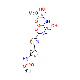 COC(=O)[C@H](CO)NC(=O)[C@H](CO)NC(=O)c1csc(C23CC(C2)C(NC(=O)OC(C)(C)C)C3)n1